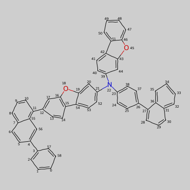 c1ccc(-c2ccc3cccc(-c4ccc5c(c4)oc4cc(N(c6ccc(-c7cccc8ccccc78)cc6)c6ccc7c(c6)oc6ccccc67)ccc45)c3c2)cc1